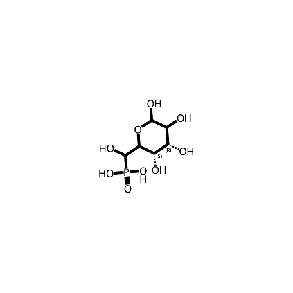 O=P(O)(O)C(O)C1OC(O)C(O)[C@H](O)[C@@H]1O